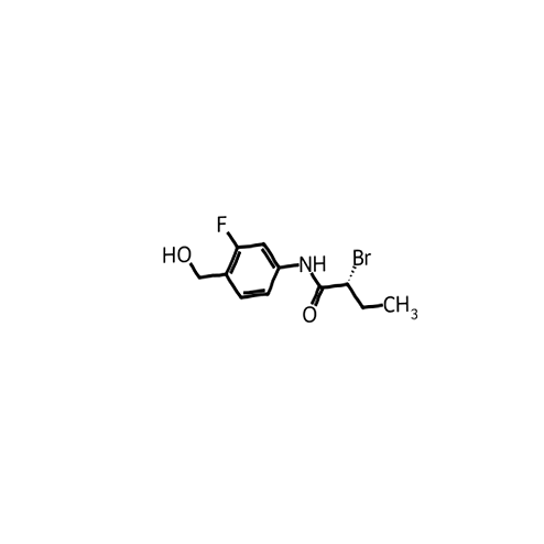 CC[C@@H](Br)C(=O)Nc1ccc(CO)c(F)c1